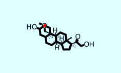 COC[C@]12CCC(O)CC1CC[C@@H]1[C@@H]2CC[C@]2(C)[C@@H](C(=O)CO)CC[C@@H]12